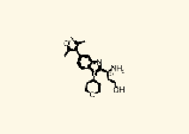 Cc1noc(C)c1-c1ccc2c(c1)nc([C@@H](N)CCO)n2C1CCOCC1